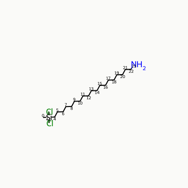 C[Si](Cl)(Cl)CCCCCCCCCCCCCCCCCCCN